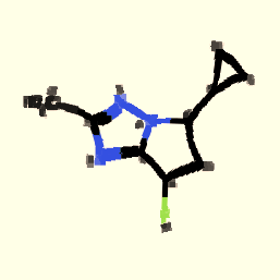 O=C(O)c1nc2n(n1)C(C1CC1)CC2F